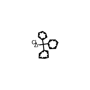 [Cl][Zr][C](c1ccccc1)(c1ccccc1)c1ccccc1